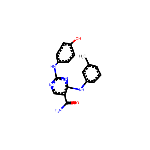 Cc1cccc(Nc2nc(Nc3ccc(O)cc3)ncc2C(N)=O)c1